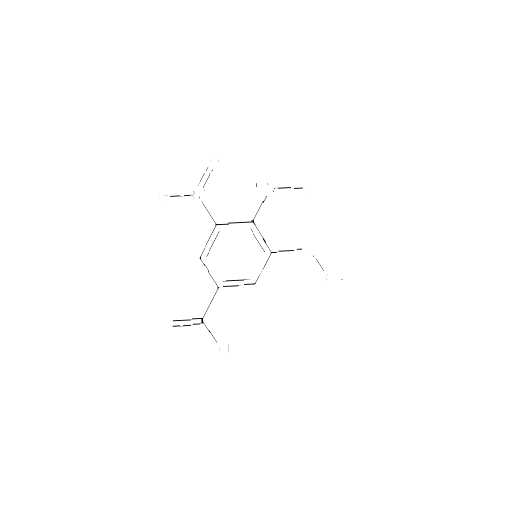 CNc1c(OC)cc(C(=O)Cl)cc1[N+](=O)[O-]